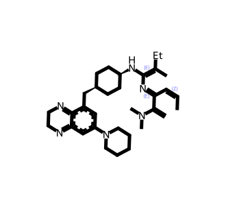 C=C(C(/C=C\C)=N/C(N[C@H]1CC[C@@H](Cc2cc(N3CCCCC3)cc3c2=NCCN=3)CC1)=C(\C)CC)N(C)C